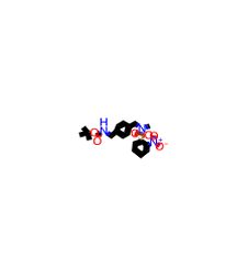 CN(Cc1ccc(CNC(=O)OC(C)(C)C)cc1)S(=O)(=O)c1ccccc1[N+](=O)[O-]